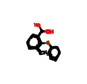 Cc1cccc(B(O)O)c1Sc1ccccc1